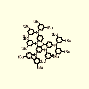 CC(C)(C)c1cc(N(c2cc(C(C)(C)C)cc(C(C)(C)C)c2)c2ccc3c(c2)N(c2cc(C(C)(C)C)cc(C(C)(C)C)c2)c2cc(-n4c5ccc(C(C)(C)C)cc5c5cc(C(C)(C)C)ccc54)cc4c2B3c2ccc(N(c3cc(C(C)(C)C)cc(C(C)(C)C)c3)c3cc(C(C)(C)C)cc(C(C)(C)C)c3)cc2N4c2cc(C(C)(C)C)cc(C(C)(C)C)c2)cc(C(C)(C)C)c1